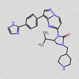 CC(C)C1CN(CC2CCNCC2)C(=O)N1c1ccn2ncc(-c3ccc(-c4ncc[nH]4)cc3)c2n1